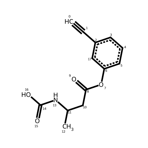 C#Cc1cccc(OC(=O)CC(C)NC(=O)O)c1